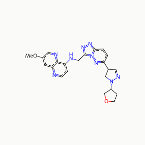 COc1cnc2c(NCc3nnc4ccc(C5C=NN(C6CCOC6)C5)nn34)ccnc2c1